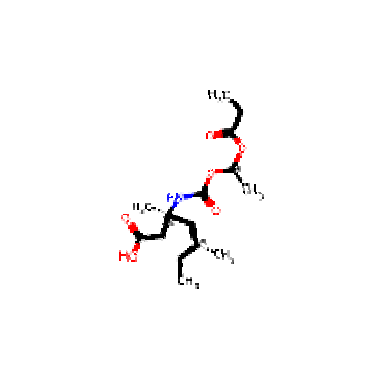 CCC(=O)O[C@@H](C)OC(=O)N[C@](C)(CC(=O)O)C[C@H](C)CC